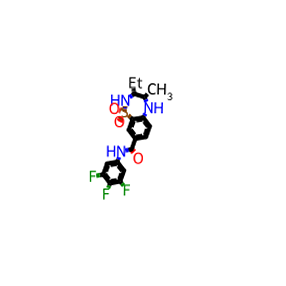 CCC1NS(=O)(=O)c2cc(C(=O)Nc3cc(F)c(F)c(F)c3)ccc2NC1C